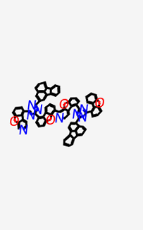 c1ccc2c(c1)-c1cccc3cc(-c4nc(-c5cccc6oc7cnccc7c56)nc(-c5cccc6oc7c(-c8nccc9c8oc8cccc(-c%10nc(-c%11ccc%12c%13c(cccc%11%13)-c%11ccccc%11-%12)nc(-c%11cccc%12oc%13ccccc%13c%11%12)n%10)c89)cccc7c56)n4)cc-2c13